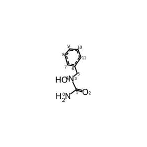 NC(=O)N(O)Cc1ccccc1